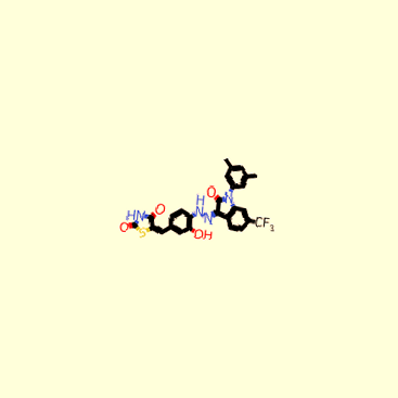 Cc1cc(C)cc(N2C(=O)/C(=N\Nc3ccc(/C=C4/SC(=O)NC4=O)cc3O)c3ccc(C(F)(F)F)cc32)c1